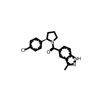 Cc1n[nH]c2ccc(C(=O)N3CCC[C@@H]3c3ccc(Cl)cc3)cc12